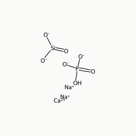 O=P([O-])([O-])O.O=[Si]([O-])[O-].[Ca+2].[Na+].[Na+]